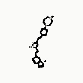 CN1CCCN(c2ccc(C=Cc3cc(C=Cc4ccc5ccn(C)c5c4)[nH]n3)cc2)CC1